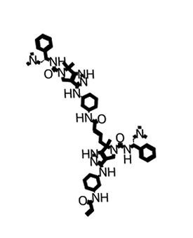 C=CC(=O)N[C@@H]1CCC[C@@H](Nc2n[nH]c3c2CN(C(=O)N[C@H](CN(C)C)c2ccccc2)C3(C)C/C=C/C(=O)N[C@H]2CCC[C@@H](Nc3n[nH]c4c3CN(C(=O)N[C@H](CN(C)C)c3ccccc3)C4(C)C)C2)C1